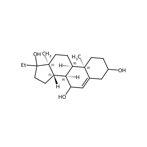 CCC1(O)CC[C@H]2[C@@H]3C(O)C=C4CC(O)CC[C@]4(C)[C@@H]3CC[C@@]21C